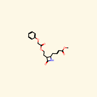 COC(=O)/C=C/CC1NC(=O)C1CCOC(=O)COc1ccccc1